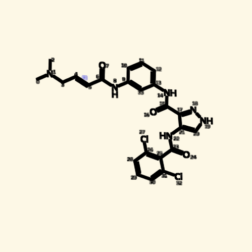 CN(C)C/C=C/C(=O)Nc1cccc(NC(=O)c2n[nH]cc2NC(=O)c2c(Cl)cccc2Cl)c1